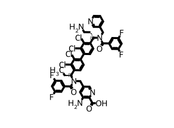 CC[C@@H](c1ccc(-c2ccc([C@H](CCN)N(Cc3cccnc3)C(=O)c3cc(F)cc(F)c3)c(Cl)c2Cl)c(Cl)c1Cl)N(Cc1cnc(C(=O)O)c(N)c1)C(=O)c1cc(F)cc(F)c1